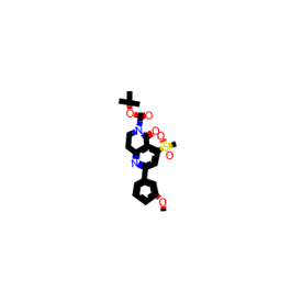 COc1cccc(-c2cc(S(C)(=O)=O)c3c(n2)CCN(C(=O)OC(C)(C)C)C3=O)c1